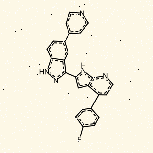 Fc1ccc(-c2ccnc3[nH]c(-c4n[nH]c5ccc(-c6ccncc6)cc45)cc23)cc1